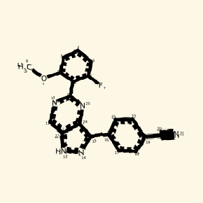 COc1cccc(F)c1-c1ncc2[nH]nc(-c3ccc(C#N)cc3)c2n1